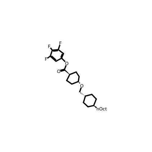 CCCCCCCC[C@H]1CC[C@H](CO[C@H]2CC[C@H](C(=O)Oc3cc(F)c(F)c(F)c3)CC2)CC1